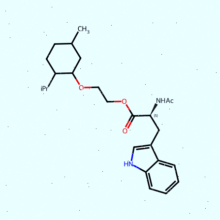 CC(=O)N[C@@H](Cc1c[nH]c2ccccc12)C(=O)OCCOC1CC(C)CCC1C(C)C